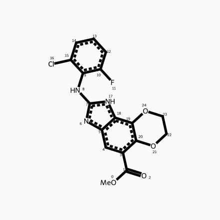 COC(=O)c1cc2nc(Nc3c(F)cccc3Cl)[nH]c2c2c1OCCO2